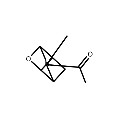 CC(=O)C1C2CC3C2OC3N1C